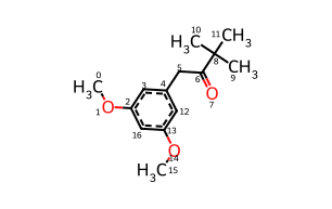 COc1cc(CC(=O)C(C)(C)C)cc(OC)c1